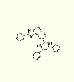 C1=C(c2ccccc2)NC(c2ccc3ccc4nc(-c5ccccc5)sc4c3c2)NC1c1ccccc1